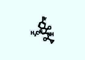 Cn1cc(NC(=O)C2CC2)c(=O)c2cc(Br)ccc21